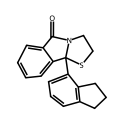 O=C1c2ccccc2C2(c3cccc4c3CCC4)SCCN12